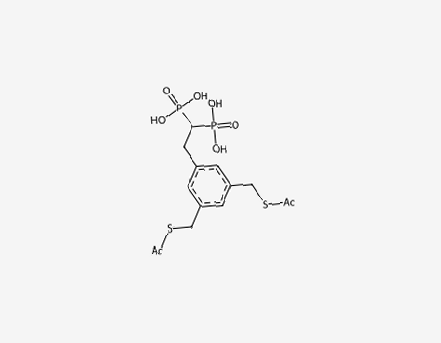 CC(=O)SCc1cc(CSC(C)=O)cc(CC(P(=O)(O)O)P(=O)(O)O)c1